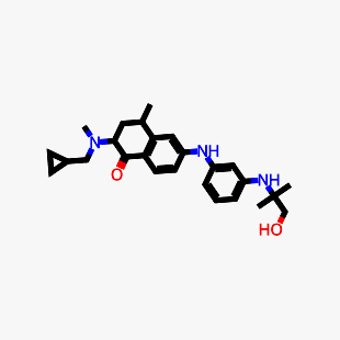 CC1CC(N(C)CC2CC2)C(=O)c2ccc(Nc3cccc(NC(C)(C)CO)c3)cc21